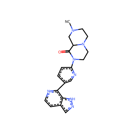 N#CN1CCN2CCN(c3ccc(-c4nccc5cn[nH]c45)cn3)C(=O)C2C1